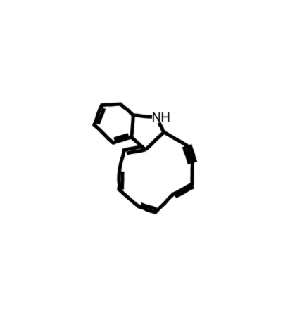 C1#CC2NC3CC=CC=C3\C2=C/C=C\C=C/C=C/1